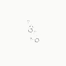 COc1cccc(F)c1C1C[C@H]1COc1ccn2c(CC3CC3)nnc2c1C(F)(F)F